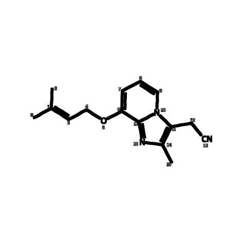 CC(C)=CCOc1cccn2c(CC#N)c(C)nc12